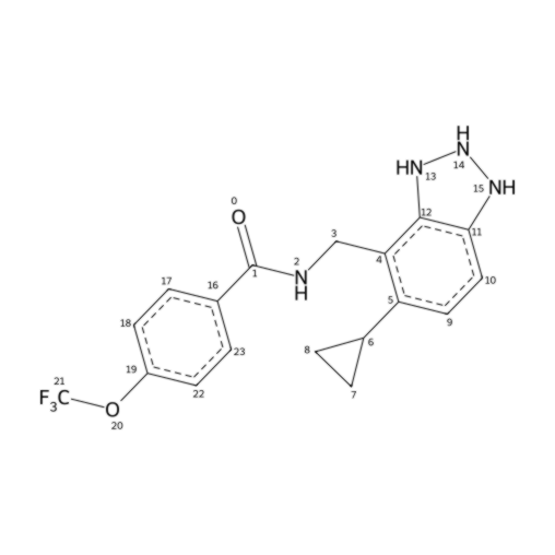 O=C(NCc1c(C2CC2)ccc2c1NNN2)c1ccc(OC(F)(F)F)cc1